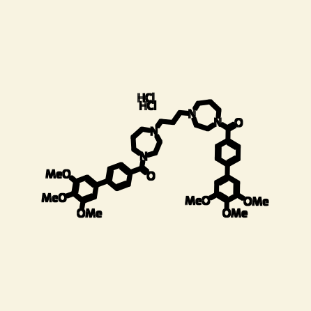 COc1cc(-c2ccc(C(=O)N3CCCN(CCCN4CCCN(C(=O)c5ccc(-c6cc(OC)c(OC)c(OC)c6)cc5)CC4)CC3)cc2)cc(OC)c1OC.Cl.Cl